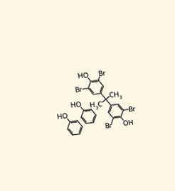 CC(C)(c1cc(Br)c(O)c(Br)c1)c1cc(Br)c(O)c(Br)c1.Oc1ccccc1.Oc1ccccc1